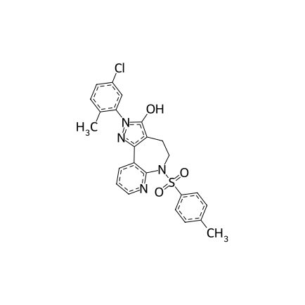 Cc1ccc(S(=O)(=O)N2CCc3c(nn(-c4cc(Cl)ccc4C)c3O)-c3cccnc32)cc1